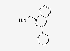 NCc1nc(C2C=CCCC2)cc2ccccc12